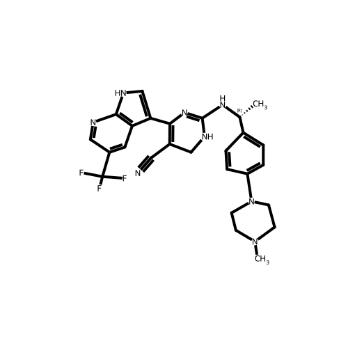 C[C@@H](NC1=NC(c2c[nH]c3ncc(C(F)(F)F)cc23)=C(C#N)CN1)c1ccc(N2CCN(C)CC2)cc1